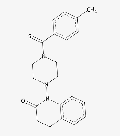 Cc1ccc(C(=S)N2CCN(N3C(=O)CCc4ccccc43)CC2)cc1